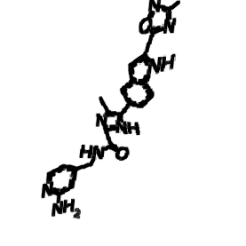 Cc1noc(-c2cc3cc(-c4[nH]c(C(=O)NCc5ccnc(N)c5)nc4C)ccc3[nH]2)n1